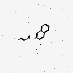 C/C=C/C(=O)Oc1ccc2ccccc2c1